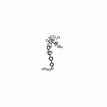 CCCCCOc1ccc(-c2ccc(-c3cnc(-c4ccc(C[C@H](NC(=O)c5ccc(C(C)(C)C)s5)C(=O)N[C@H](C)C(=O)O)cc4)nc3)cc2)cc1